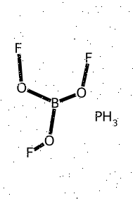 FOB(OF)OF.P